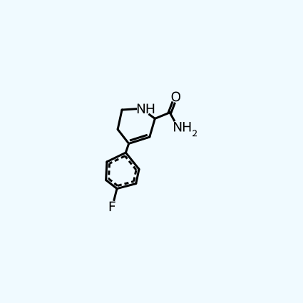 NC(=O)C1C=C(c2ccc(F)cc2)CCN1